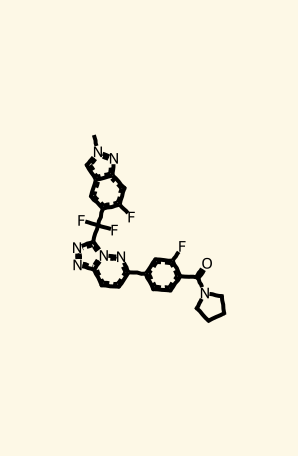 Cn1cc2cc(C(F)(F)c3nnc4ccc(-c5ccc(C(=O)N6CCCC6)c(F)c5)nn34)c(F)cc2n1